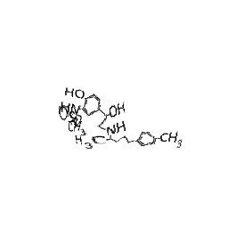 Cc1ccc(CCC[C@@H](C)NC[C@H](O)c2ccc(O)c(NS(C)(=O)=O)c2)cc1